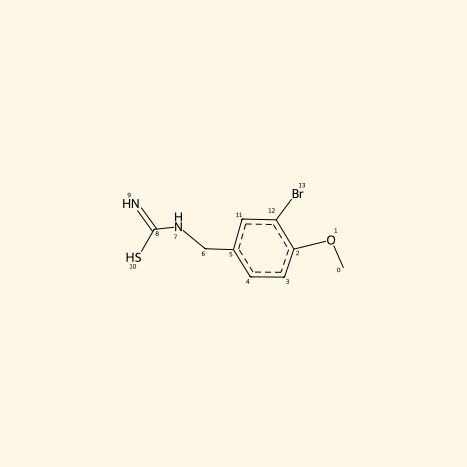 COc1ccc(CNC(=N)S)cc1Br